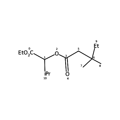 CCOC(=O)C(OC(=O)CC(C)(C)CC)C(C)C